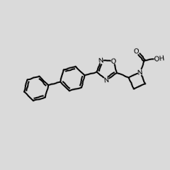 O=C(O)N1CCC1c1nc(-c2ccc(-c3ccccc3)cc2)no1